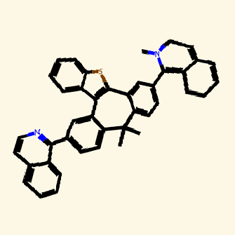 CN1CC=C2C=CCCC2=C1c1ccc2c(c1)-c1sc3ccccc3c1-c1cc(-c3nccc4ccccc34)ccc1C2(C)C